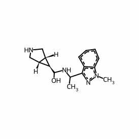 CC(NC(O)[C@H]1[C@@H]2CNC[C@@H]21)c1nn(C)c2ccccc12